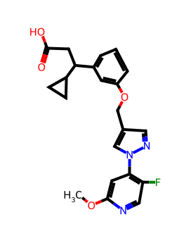 COc1cc(-n2cc(COc3cccc(C(CC(=O)O)C4CC4)c3)cn2)c(F)cn1